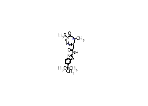 C/C1=C/C(=O)N(C)C/N=C\N(CC(=O)Nc2nc3ccc(C(C)(C)C)cc3s2)C1